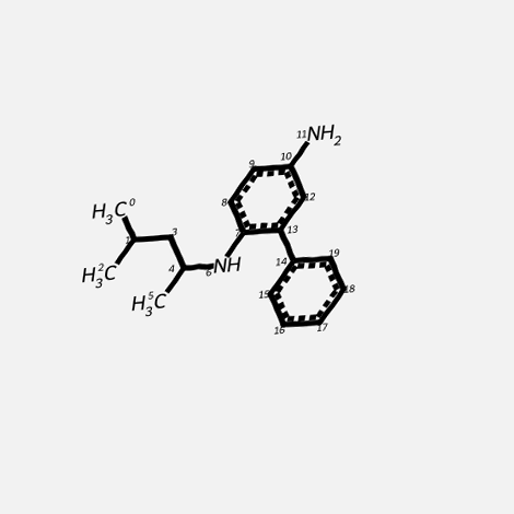 CC(C)CC(C)Nc1ccc(N)cc1-c1ccccc1